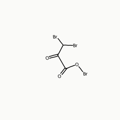 O=C(OBr)C(=O)C(Br)Br